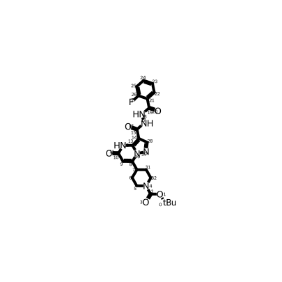 CC(C)(C)OC(=O)N1CCC(c2cc(=O)[nH]c3c(C(=O)NNC(=O)c4ccccc4F)cnn23)CC1